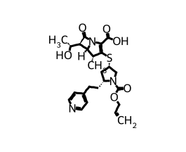 C=CCOC(=O)N1C[C@@H](SC2=C(C(=O)O)N3C(=O)[C@H]([C@@H](C)O)[C@H]3[C@H]2C)C[C@H]1CCc1ccncc1